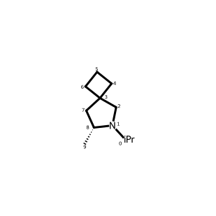 CC(C)N1CC2(CCC2)C[C@H]1C